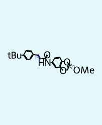 COC[C@@H]1COc2cc(NC(=O)/C=C/c3ccc(C(C)(C)C)cc3)ccc2O1